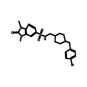 Cn1c(=O)n(C)c2cc(S(=O)(=O)NCC3CCN(Cc4ccc(Br)cc4)CC3)ccc21